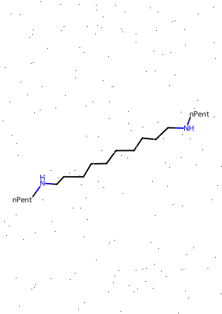 CCCCCNCCCCCCCCCCNCCCCC